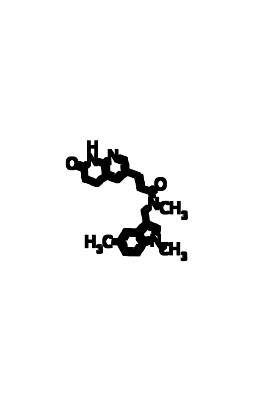 Cc1ccc2c(c1)c(CN(C)C(=O)C=Cc1cnc3c(c1)CCC(=O)N3)cn2C